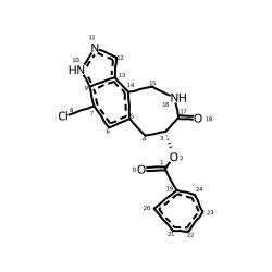 O=C(O[C@@H]1Cc2cc(Cl)c3[nH]ncc3c2CNC1=O)c1ccccc1